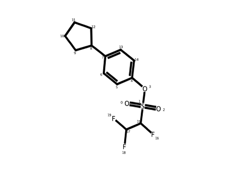 O=S(=O)(Oc1ccc(C2CCCC2)cc1)C(F)C(F)F